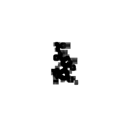 CC(O)CNC(=O)c1c[nH]c(=O)c(-c2cc(C(F)(F)F)cc3[nH]ncc23)c1